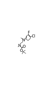 CN(CCN(C)C1=CC(F)=C(Cl)CC1)C(=O)OC(C)(C)C